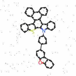 c1ccc2c(c1)oc1ccc(-c3ccc(-n4c5ccccc5c5c6c7ccccc7c7ccccc7c6c6c7ccccc7sc6c54)cc3)cc12